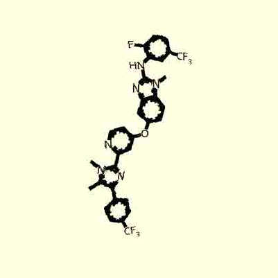 Cc1c(-c2ccc(C(F)(F)F)cc2)nc(-c2cc(Oc3ccc4c(c3)nc(Nc3cc(C(F)(F)F)ccc3F)n4C)ccn2)n1C